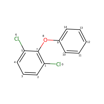 Clc1cccc(Cl)c1Oc1[c]cccc1